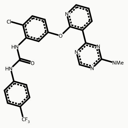 CNc1ncnc(-c2cccnc2Oc2ccc(Cl)c(NC(=O)Nc3ccc(C(F)(F)F)cc3)c2)n1